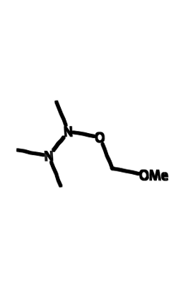 COCON(C)N(C)C